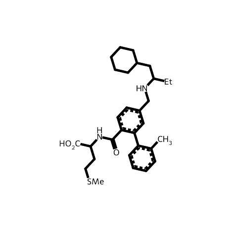 CCC(CC1CCCCC1)NCc1ccc(C(=O)NC(CCSC)C(=O)O)c(-c2ccccc2C)c1